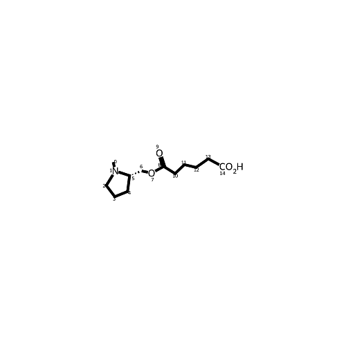 CN1CCC[C@H]1COC(=O)CCCCC(=O)O